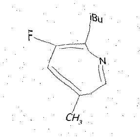 CCC(C)c1ncc(C)cc1F